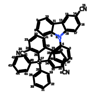 N#Cc1ccc(-n2c3ccccc3c3cc(C#N)ccc32)c(-c2cccc(C#N)c2[Si](c2ccccc2)(c2ccccc2)c2ccccc2)c1